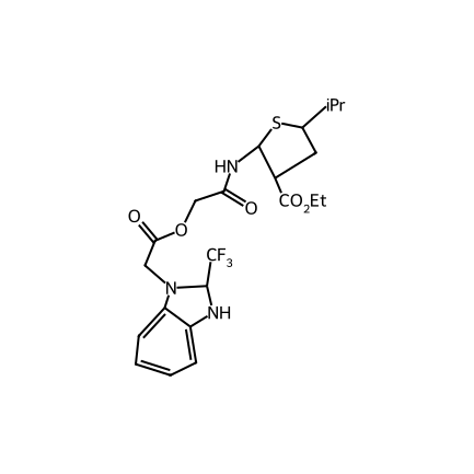 CCOC(=O)C1CC(C(C)C)SC1NC(=O)COC(=O)CN1c2ccccc2NC1C(F)(F)F